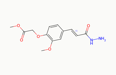 COC(=O)COc1ccc(/C=C/C(=O)NN)cc1OC